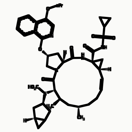 CCCOc1cnc(O[C@@H]2C[C@H]3C(=O)N[C@]4(C(=O)NS(=O)(=O)C5CC5)C[C@H]4/C=C\CC[C@H](C)C[C@@H](C)[C@H](N(C(=O)O)[C@H]4CC5C[C@H]5C4)C(=O)N3C2)c2ccccc12